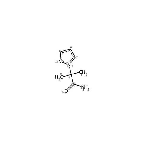 CC(C)(C(N)=O)n1c[c]cn1